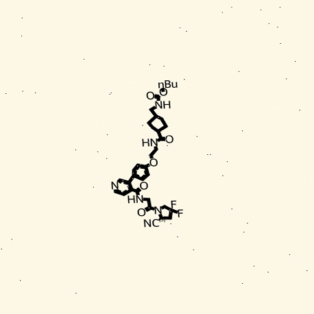 CCCCOC(=O)NCC1CCC(C(=O)NCCOc2ccc(-c3cnccc3C(=O)NCC(=O)N3CC(F)(F)C[C@H]3C#N)cc2)CC1